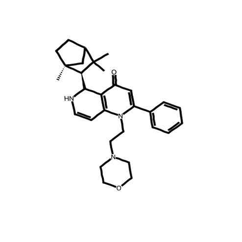 CC1(C)C2CC[C@@](C)(C2)[C@@H]1C1NC=Cc2c1c(=O)cc(-c1ccccc1)n2CCN1CCOCC1